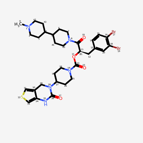 CN1CCC(C2CCN(C(=O)[C@@H](Cc3ccc(Br)c(Br)c3)OC(=O)N3CCC(N4Cc5cscc5NC4=O)CC3)CC2)CC1